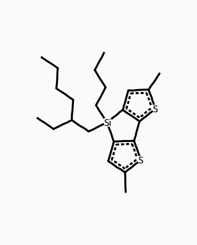 CCCCC(CC)C[Si]1(CCCC)c2cc(C)sc2-c2sc(C)cc21